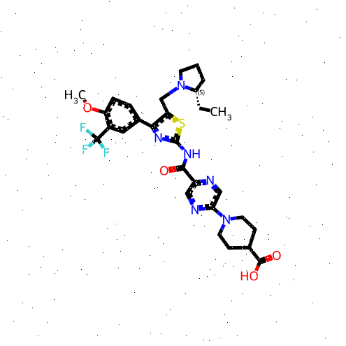 CC[C@H]1CCCN1Cc1sc(NC(=O)c2cnc(N3CCC(C(=O)O)CC3)cn2)nc1-c1ccc(OC)c(C(F)(F)F)c1